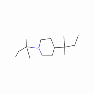 CCC(C)(C)C1CCN(C(C)(C)CC)CC1